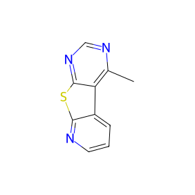 Cc1ncnc2sc3ncccc3c12